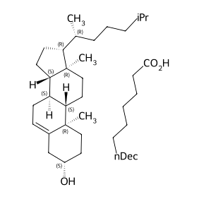 CC(C)CCC[C@@H](C)[C@H]1CC[C@H]2[C@@H]3CC=C4C[C@@H](O)CC[C@]4(C)[C@H]3CC[C@]12C.CCCCCCCCCCCCCCCC(=O)O